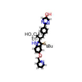 CCC(CC)(C(=O)O)C(Cc1ccc(-c2ncc(O)cn2)cc1)c1[nH]c2ccc(OCc3ccccn3)cc2c1SC(C)(C)C